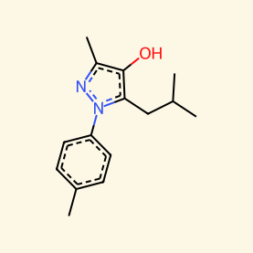 Cc1ccc(-n2nc(C)c(O)c2CC(C)C)cc1